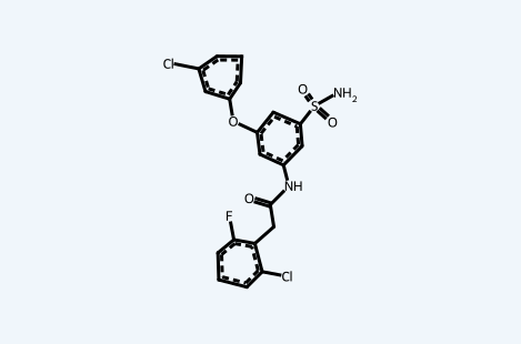 NS(=O)(=O)c1cc(NC(=O)Cc2c(F)cccc2Cl)cc(Oc2cccc(Cl)c2)c1